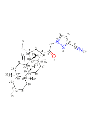 CC[C@@H]1C[C@H](C(=O)Cn2ccc(C#N)n2)[C@@]2(C)CC[C@H]3[C@@H](CC[C@@H]4C[C@@H](C)CC[C@@H]43)[C@H]12